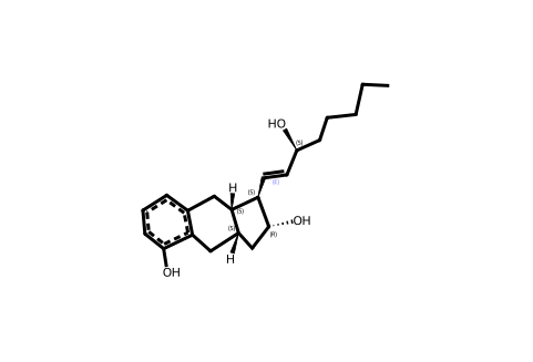 CCCCC[C@H](O)/C=C/[C@@H]1[C@H]2Cc3cccc(O)c3C[C@H]2C[C@H]1O